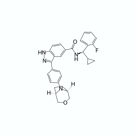 O=C(N[C@@H](c1ccccc1F)C1CC1)c1ccc2[nH]nc(-c3ccc(N4[C@@H]5CC[C@H]4COC5)cc3)c2c1